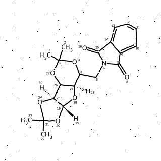 CC1(C)OC(CN2C(=O)c3ccccc3C2=O)[C@H]2O[C@@H]3OC(C)(C)O[C@H]3C2O1